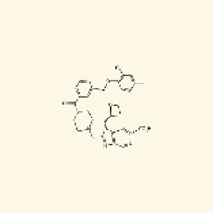 Cc1ccc(OCc2cccc(C(=O)N3CCN(Cc4nc5ccc(C(=O)O)cc5n4C[C@@H]4CCO4)CC3)c2)c(Cl)c1